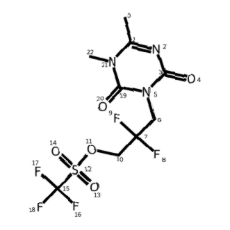 Cc1nc(=O)n(CC(F)(F)COS(=O)(=O)C(F)(F)F)c(=O)n1C